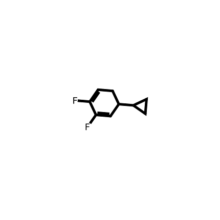 FC1=CCC(C2CC2)C=C1F